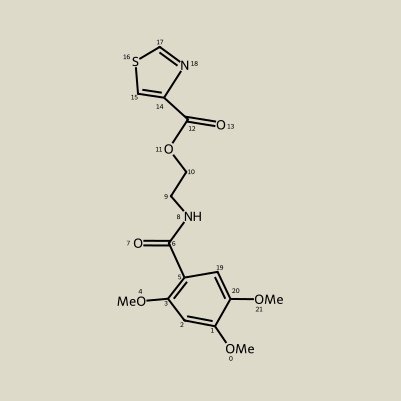 COc1cc(OC)c(C(=O)NCCOC(=O)c2cscn2)cc1OC